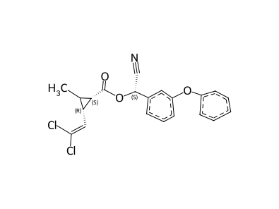 CC1[C@@H](C=C(Cl)Cl)[C@H]1C(=O)O[C@H](C#N)c1cccc(Oc2ccccc2)c1